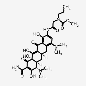 [CH2]OC(=O)N(CCC)CC(=O)Nc1cc(N(C)C)c2c(c1O)C(=O)C1=C(O)[C@]3(O)C(=O)C(C(N)=O)=C(O)[C@@H](N(C)C)[C@@H]3C[C@@H]1C2